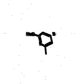 COc1cccc(C)n1.[K]